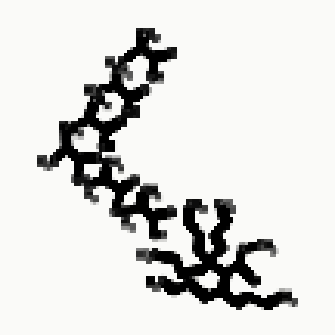 C=C(C)C(=O)O.C=C(C)C(=O)O.C=C(C)C(=O)O.C=C(C)C(=O)O.C=C(C)C(=O)O.C=C(C)C(=O)O.C=CC=CC(C=CC=C)=C(C(=O)OC)C(C=CC=C)(C=CC=C)C=CC=C